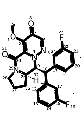 [CH2]Oc1c2n(ncc1=O)[C@@H](C(c1cccc(F)c1)c1cccc(F)c1)[C@H]1CCCN1C2=O